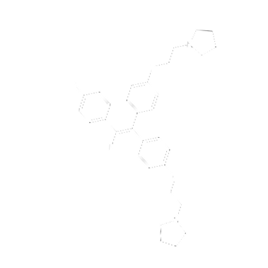 CCC(=C(c1ccc(OCCN2CCCC2)cc1)c1ccc(OCCN2CCCC2)cc1)c1ccc(O)cc1